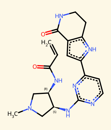 C=CC(=O)N[C@@H]1CN(C)C[C@@H]1Nc1nccc(-c2cc3c([nH]2)CCNC3=O)n1